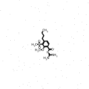 CCCCc1ccc(C(=O)N=C(N)N)c(OC)c1S(C)(=O)=O